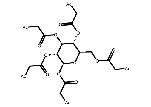 CC(=O)CC(=O)OC[C@H]1O[C@@H](OC(=O)CC(C)=O)[C@H](OC(=O)CC(C)=O)[C@@H](OC(=O)CC(C)=O)[C@@H]1OC(=O)CC(C)=O